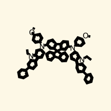 CCn1c2cc(-c3ccccc3)ccc2c2ccc(N(c3ccc(OC)cc3)c3ccc4c(c3)C3(c5ccccc5-c5ccccc53)c3cc(N(c5ccc(OC)cc5)c5ccc6c7ccc(-c8ccccc8)cc7n(CC)c6c5)ccc3-4)cc21